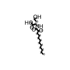 CCCCCCCCCCC(=O)C(=O)N[C@@H](CCO)C(=O)O